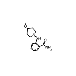 COC1CCN(Nc2ccccc2C(N)=O)CC1